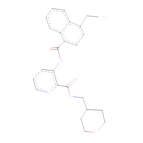 COCc1ccc(C(=O)Nc2cccnc2C(=O)NCC2CCOCC2)c2ccccc12